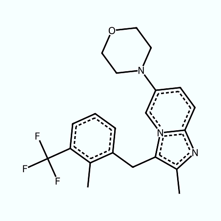 Cc1nc2ccc(N3CCOCC3)cn2c1Cc1cccc(C(F)(F)F)c1C